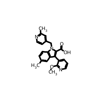 COc1ncccc1-c1c(C(=O)O)n(Cc2ccnc(C)c2)c2ccc(C)cc12